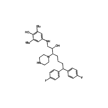 CC(C)(C)c1cc(NCC(O)C(CCCC(c2ccc(F)cc2)c2ccc(F)cc2)N2CCNCC2)cc(C(C)(C)C)c1O